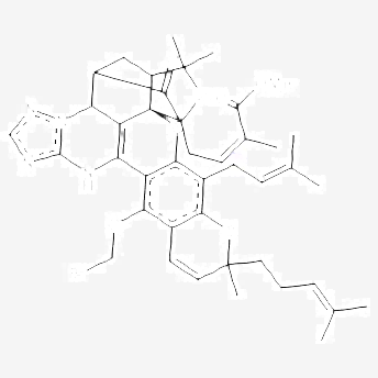 COC(=O)/C(C)=C\CC12OC(C)(C)C3CC(C1=O)C1C4=C(Nc5ncnn51)c1c(OCBr)c5c(c(CC=C(C)C)c1OC432)OC(C)(CCC=C(C)C)C=C5